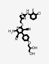 N#Cc1c(N)nc(SCc2csc(Nc3cccc(Cl)c3F)n2)c(C#N)c1-c1ccc(OC[C@@H](O)CO)cc1